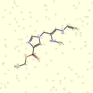 C=CN/C=C(/Cn1cnc(C(=O)OCC)c1)NC